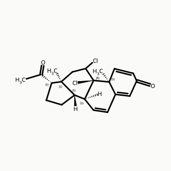 CC(=O)[C@H]1CC[C@H]2[C@@H]3C=CC4=CC(=O)C=C[C@]4(C)[C@@]3(Cl)C(Cl)C[C@]12C